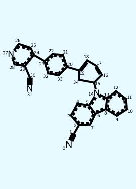 N#Cc1ccc2c(c1)c1ccccc1n2C1C=CC=C(c2ccc(-c3ccncc3C#N)cc2)C1